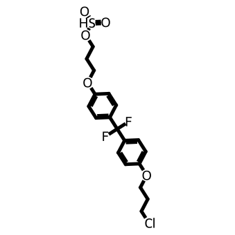 O=[SH](=O)OCCCOc1ccc(C(F)(F)c2ccc(OCCCCl)cc2)cc1